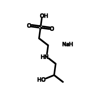 CC(O)CNCCS(=O)(=O)O.[NaH]